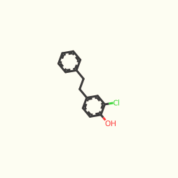 Oc1ccc(CCc2ccccc2)cc1Cl